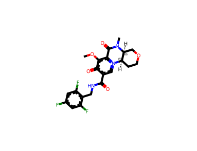 COc1c2n(cc(C(=O)NCc3c(F)cc(F)cc3F)c1=O)[C@@H]1CCOC[C@@H]1N(C)C2=O